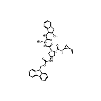 C=CC1CC1NC(=O)[C@@H]1C[C@@H](NC(=O)OCC2c3ccccc3-c3ccccc32)CN1C(=O)N[C@H](C(=O)NC1c2ccccc2C[C@H]1O)C(C)(C)C